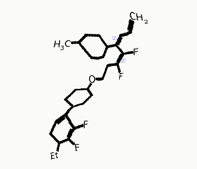 C=C/C=C(\C(F)=C(\F)CCOC1CCC(C2=CCC(CC)C(F)=C2F)CC1)C1CCC(C)CC1